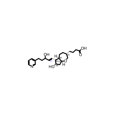 O=C(O)CCC[C@H]1CC[C@@H]2[C@@H](/C=C/C(O)CCc3cccnc3)[C@H](O)C[C@@H]2OC1